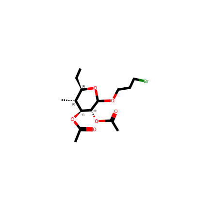 CC[C@H]1OC(OCCCBr)[C@H](OC(C)=O)[C@@H](OC(C)=O)[C@@H]1C